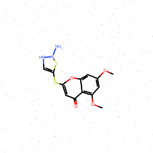 COc1cc(OC)c2c(=O)cc(SC3=CNN(N)S3)oc2c1